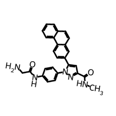 CNC(=O)c1cc(-c2ccc3c(ccc4ccccc43)c2)n(-c2ccc(NC(=O)CN)cc2)n1